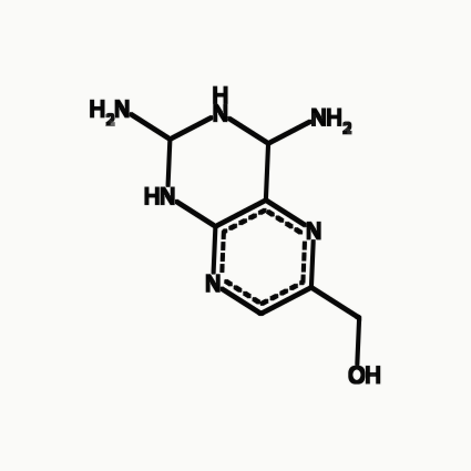 NC1Nc2ncc(CO)nc2C(N)N1